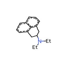 CCN(CC)C1Cc2cccc3cccc(c23)C1